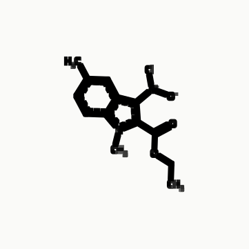 CCOC(=O)c1c([S+]([O-])Cl)c2cc(C)ccc2n1C